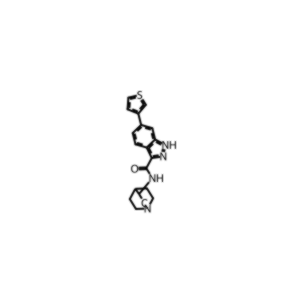 O=C(NC1CN2CCC1CC2)c1n[nH]c2cc(-c3ccsc3)ccc12